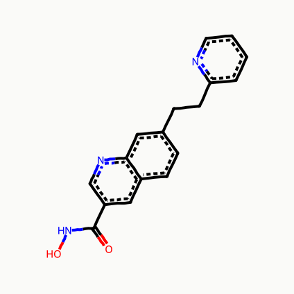 O=C(NO)c1cnc2cc(CCc3ccccn3)ccc2c1